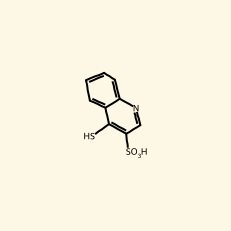 O=S(=O)(O)c1cnc2ccccc2c1S